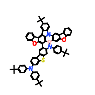 CC(C)(C)c1ccc(N2B3c4cc5oc6ccccc6c5cc4-n4c5ccc(C(C)(C)C)cc5c5c6c(oc7ccccc76)c(c3c54)-c3cc4c(cc32)sc2cc(N(c3ccc(C(C)(C)C)cc3)c3ccc(C(C)(C)C)cc3)ccc24)cc1